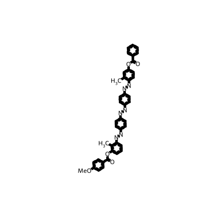 COc1ccc(C(=O)Oc2cccc(N=Nc3ccc(N=Nc4ccc(N=Nc5ccc(OC(=O)c6ccccc6)cc5C)cc4)cc3)c2C)cc1